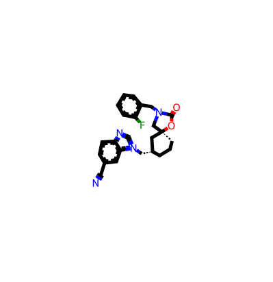 N#Cc1ccc2ncn(C[C@H]3CCC[C@]4(C3)CN(Cc3ccccc3F)C(=O)O4)c2c1